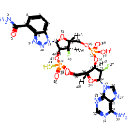 NC(=O)c1cccc2c1nnn2[C@@H]1O[C@@H]2COP(=O)(O)O[C@H]3[C@@H](F)[C@H](n4cnc5c(N)ncnc54)O[C@@H]3COP(=O)(S)O[C@@H]1[C@@H]2F